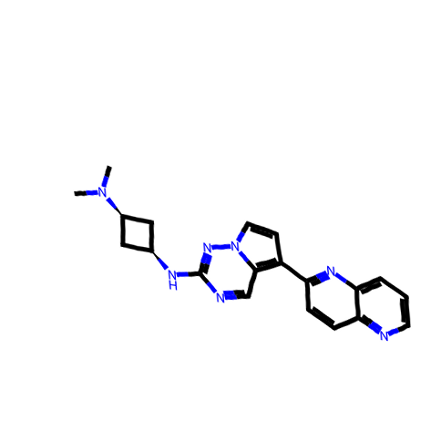 CN(C)[C@H]1C[C@@H](Nc2ncc3c(-c4ccc5ncccc5n4)ccn3n2)C1